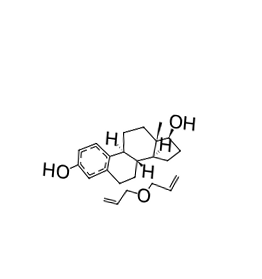 C=CCOCC=C.C[C@]12CC[C@@H]3c4ccc(O)cc4CC[C@H]3[C@@H]1CC[C@@H]2O